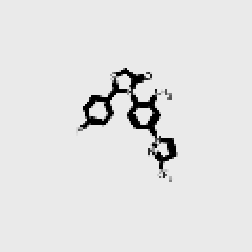 Cc1cc(-n2ccc(C(F)(F)F)n2)ccc1N1C(=O)CSC1c1ccc(F)cc1